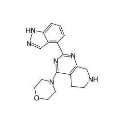 c1cc(-c2nc3c(c(N4CCOCC4)n2)CCNC3)c2cn[nH]c2c1